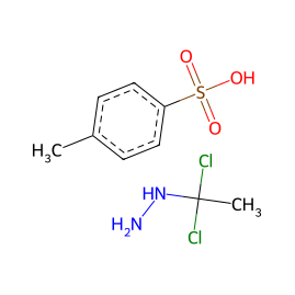 CC(Cl)(Cl)NN.Cc1ccc(S(=O)(=O)O)cc1